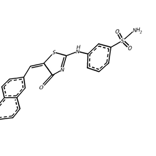 NS(=O)(=O)c1cccc(NC2=NC(=O)C(=Cc3ccc4ncccc4c3)S2)c1